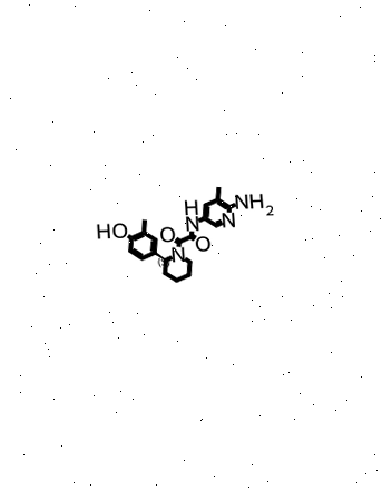 Cc1cc([C@@H]2CCCCN2C(=O)C(=O)Nc2cnc(N)c(C)c2)ccc1O